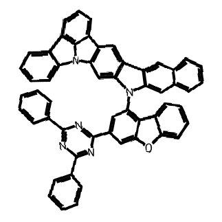 c1ccc(-c2nc(-c3ccccc3)nc(-c3cc(-n4c5cc6ccccc6cc5c5cc6c7cccc8c9ccccc9n(c6cc54)c87)c4c(c3)oc3ccccc34)n2)cc1